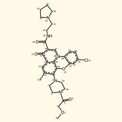 COCC(=O)N1CCN(c2c(F)cc3c(=O)c(C(=O)NCCN4CCCC4)cn4c3c2Oc2cc(Cl)ccc2-4)CC1